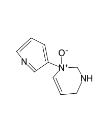 [O-][N+]1(c2cccnc2)C=CCNC1